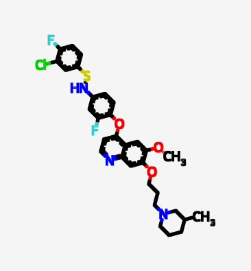 COc1cc2c(Oc3ccc(NSc4ccc(F)c(Cl)c4)cc3F)ccnc2cc1OCCCN1CCCC(C)C1